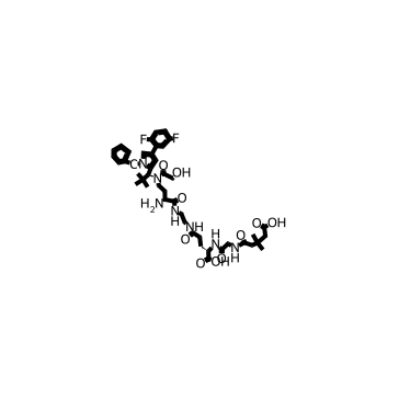 CC(C)(CC(=O)O)CC(=O)NCC(=O)N[C@@H](CCC(=O)NCCNC(=O)[C@@H](N)CCN(C(=O)CO)[C@@H](c1cc(-c2cc(F)ccc2F)cn1Cc1ccccc1)C(C)(C)C)C(=O)O